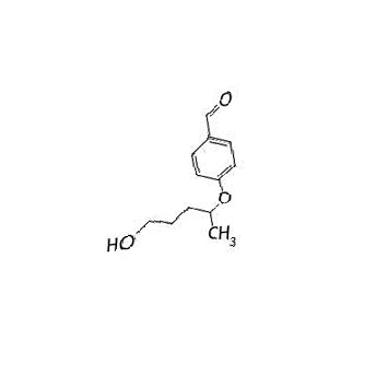 CC(CCCO)Oc1ccc(C=O)cc1